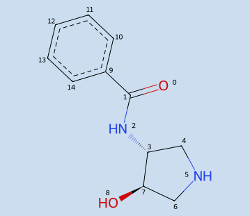 O=C(N[C@@H]1CNC[C@H]1O)c1ccccc1